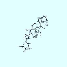 O=C(N[C@@H]1CCO[C@]12O[C@H](CO)[C@H](O)[C@H](n1cc(-c3cc(F)c(F)c(F)c3)nn1)[C@H]2O)c1coc2cccc(Br)c12